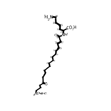 CCCCCCCCCCCCCC(=O)CCCCCCCCCCCCC(=O)NC(CCCCN)C(=O)O